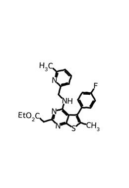 CCOC(=O)Cc1nc(NCc2cccc(C)n2)c2c(-c3ccc(F)cc3)c(C)sc2n1